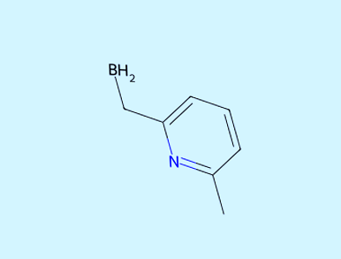 BCc1cccc(C)n1